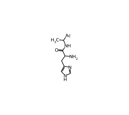 CC(=O)C(C)NC(=O)C(N)Cc1c[nH]cn1